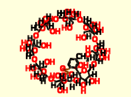 Cc1ccc(S(=O)(=O)O[C@H]2[C@H]3O[C@H]4[C@H](O)[C@@H](O)[C@@H](O[C@H]5[C@H](O)[C@@H](O)[C@@H](O[C@H]6[C@H](O)[C@@H](O)[C@@H](O[C@H]7[C@H](O)[C@@H](O)[C@@H](O[C@H]8[C@H](O)[C@@H](O)[C@@H](O[C@H]9[C@H](O)[C@@H](O)[C@@H](O[C@H]%10[C@H](O)[C@@H](O)[C@@H](O[C@@H]([C@@H]2O)[C@@H](CO)O3)O[C@@H]%10CO)O[C@@H]9CO)O[C@@H]8CO)O[C@@H]7CO)O[C@@H]6CO)O[C@@H]5CO)O[C@@H]4CO)cc1